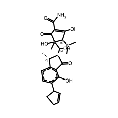 C[C@H]1c2ccc(C3C=CCC3)c(O)c2C(=O)I1[C@H](O)I1(C)(O)C(=O)C(C(N)=O)=C(O)[C@H]1N(C)C